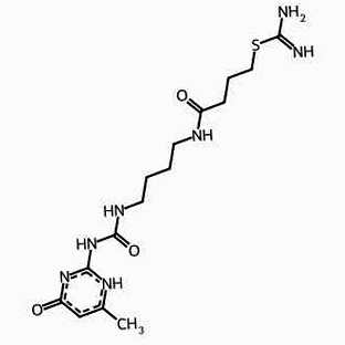 Cc1cc(=O)nc(NC(=O)NCCCCNC(=O)CCCSC(=N)N)[nH]1